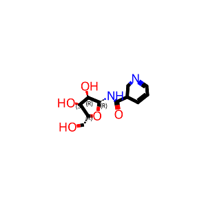 O=C(N[C@@H]1O[C@H](CO)[C@@H](O)[C@H]1O)C1C=CC=NC1